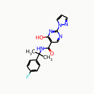 CC(C)(NC(=O)c1cnc(-n2cccn2)nc1O)c1ccc(F)cc1